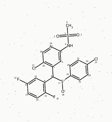 CS(=O)(=O)Nc1cc(C(c2cc(F)ccc2F)[S+]([O-])c2ccc(Cl)cc2)c(Cl)cn1